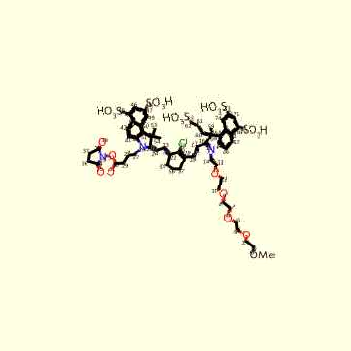 COCCOCCOCCOCCOCC[N+]1=C(/C=C/C2=C(Cl)C(=C/C=C3/N(CCCC(=O)ON4C(=O)CCC4=O)c4ccc5c(S(=O)(=O)O)cc(S(=O)(=O)O)cc5c4C3(C)C)/CCC2)C(C)(CCCS(=O)(=O)O)c2c1ccc1c(S(=O)(=O)O)cc(S(=O)(=O)O)cc21